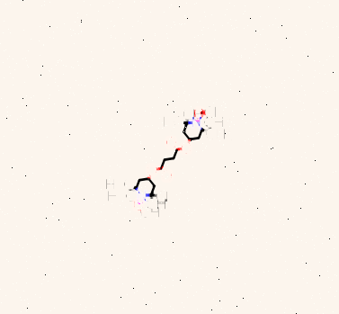 CON1C(C)(C)CC(OC(=O)CCC(=O)OC2CC(C)(C)N(OC)C(C)(C)C2)CC1(C)C